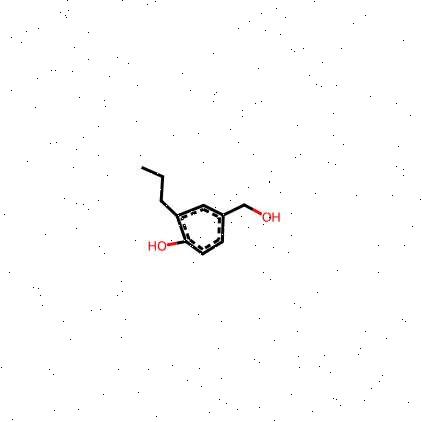 CCCc1cc(CO)ccc1O